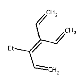 C=CC(C=C)=C(C=C)CC